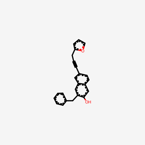 Oc1cc2ccc(C#CCc3ccco3)cc2cc1Cc1ccccc1